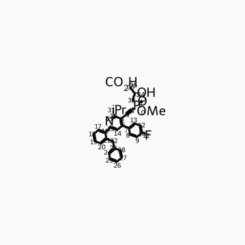 COP(=O)(C#Cc1c(-c2ccc(F)cc2)cc(-c2ccccc2Cc2ccccc2)nc1C(C)C)C[C@@H](O)CC(=O)O